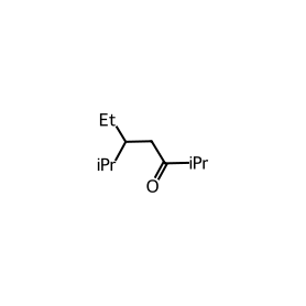 CCC(CC(=O)C(C)C)C(C)C